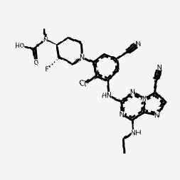 CCNc1nc(Nc2cc(C#N)cc(N3CC[C@H](N(C)C(=O)O)[C@@H](F)C3)c2Cl)nn2c(C#N)cnc12